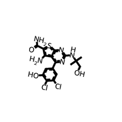 CC(C)(CO)Nc1nc(-c2cc(O)c(Cl)c(Cl)c2)c2c(N)c(C(N)=O)sc2n1